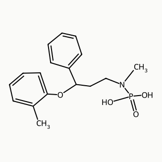 Cc1ccccc1OC(CCN(C)P(=O)(O)O)c1ccccc1